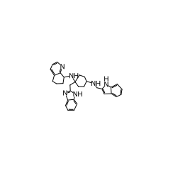 c1cnc2c(c1)CCCC2NC1(Cc2nc3ccccc3[nH]2)CCC(NCc2cc3ccccc3[nH]2)CC1